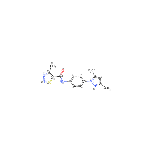 Cc1cc(C(F)(F)F)n(-c2ccc(NC(=O)c3snnc3C)cc2)n1